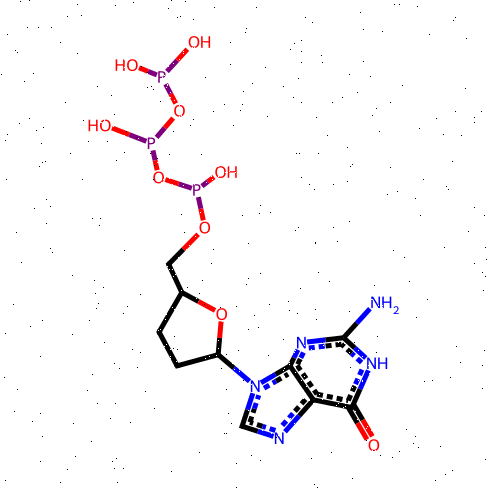 Nc1nc2c(ncn2C2CCC(COP(O)OP(O)OP(O)O)O2)c(=O)[nH]1